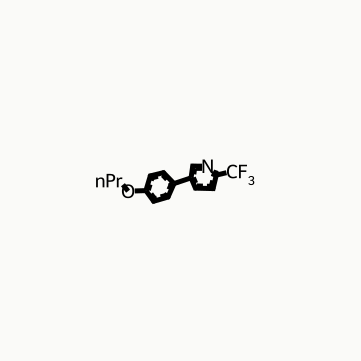 CCCOc1ccc(-c2ccc(C(F)(F)F)nc2)cc1